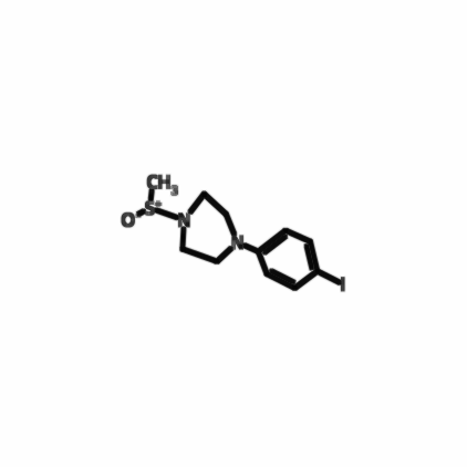 C[S+]([O-])N1CCN(c2ccc(I)cc2)CC1